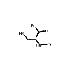 CC(C)NC(CO)C(=O)C(C)C